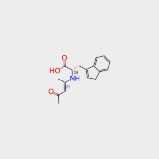 CC(=O)/C=C(\C)N[C@@H](CC1=CCc2ccccc21)C(=O)O